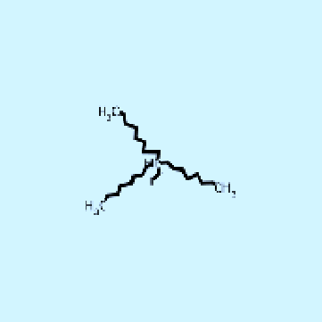 CCCCCCCC[PH]([CH]I)(CCCCCCCC)CCCCCCCC